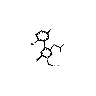 N#Cc1ccc(Cl)cc1-c1cc(=O)n(CC(=O)O)cc1OC(F)F